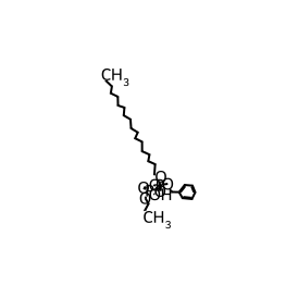 CCCCCCCCCCCCCCCCCCOP(=O)(OCc1ccccc1)OP(=O)(O)OCCC